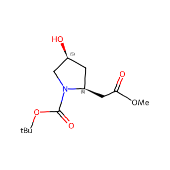 COC(=O)C[C@@H]1C[C@H](O)CN1C(=O)OC(C)(C)C